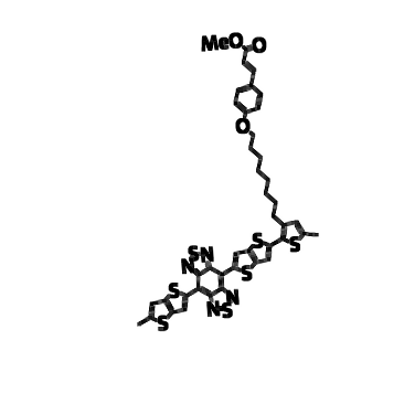 COC(=O)/C=C/c1ccc(OCCCCCCCCc2cc(C)sc2-c2cc3sc(-c4c5c(c(-c6cc7sc(C)cc7s6)c6nsnc46)N=S=N5)cc3s2)cc1